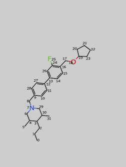 CCCC1C(C)CN(Cc2ccc(-c3ccc(COC4CCCC4)c(F)c3)cc2)CC1C